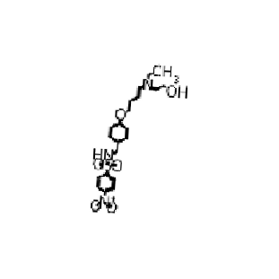 CCN(CCO)CCCCOC1CCC(CNS(=O)(=O)c2ccc([N+](=O)[O-])cc2)CC1